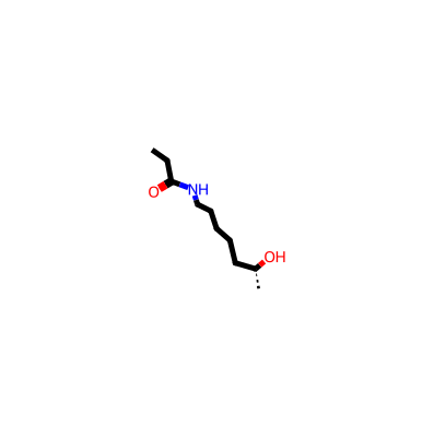 CCC(=O)NCCCCC[C@@H](C)O